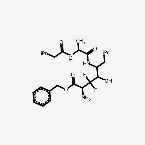 CC(C)CC(=O)NC(C)C(=O)NC(CC(C)C)C(O)C(F)(F)C(N)C(=O)OCc1ccccc1